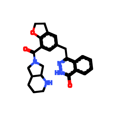 O=C(c1cc(Cc2n[nH]c(=O)c3ccccc23)cc2c1OCC2)N1CC2CCCNC2C1